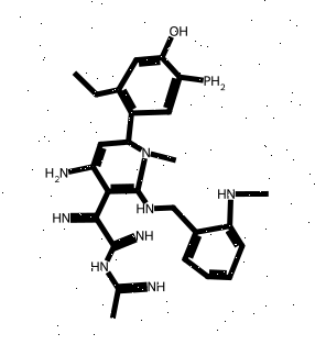 CCc1cc(O)c(P)cc1C1C=C(N)C(C(=N)C(=N)NC(C)=N)=C(NCc2ccccc2NC)N1C